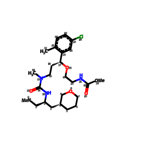 CNC[C@H](C[C@H]1CCCOC1)NC(=O)N(C)CC[C@@H](OCCNC(=O)OC)c1cc(Cl)ccc1C